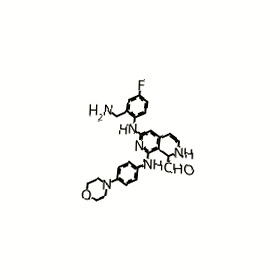 NCc1cc(F)ccc1Nc1cc2c(c(Nc3ccc(N4CCOCC4)cc3)n1)C(C=O)NC=C2